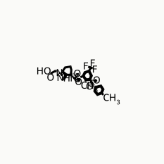 Cc1ccc(S(=O)(=O)c2cc(C(F)(F)F)cc(S(=O)(=O)N[C@@H]3CCCc4c3cnn4CC(=O)O)c2C)cc1